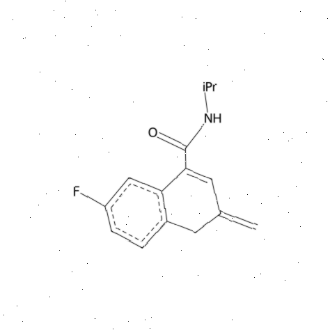 C=C1C=C(C(=O)NC(C)C)c2cc(F)ccc2C1